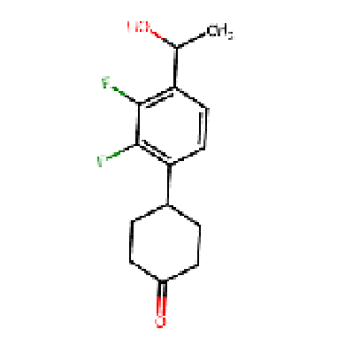 CC(O)c1ccc(C2CCC(=O)CC2)c(F)c1F